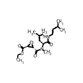 CCOC(=O)[C@H]1O[C@@H]1C(=O)N(C)[C@@H](CC(C)C)C(=O)NCCC(C)C